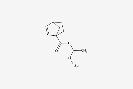 CC(OC(=O)C12C=CC(CC1)C2)OC(C)(C)C